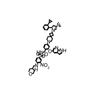 CN(C)C1CC(c2ccccc2C2CC2)N(C2CC3(CCN(c4ccc(C(=O)NS(=O)(=O)c5ccc(NCC6CCOCC6)c([N+](=O)[O-])c5)c(Oc5cnc6[nH]ccc6c5)c4)CC3)C2)C1